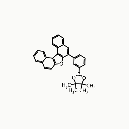 CC1(C)OB(c2cccc(-c3cc4ccccc4c4c3oc3ccc5ccccc5c34)c2)OC1(C)C